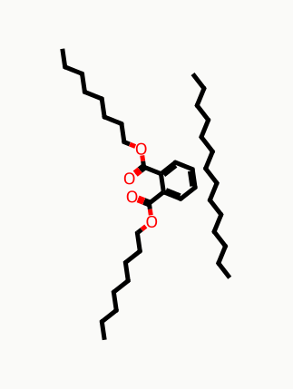 CCCCCCCCCCCCCC.CCCCCCCCOC(=O)c1ccccc1C(=O)OCCCCCCCC